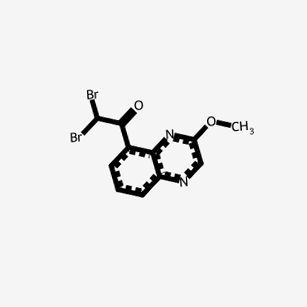 COc1cnc2cccc(C(=O)C(Br)Br)c2n1